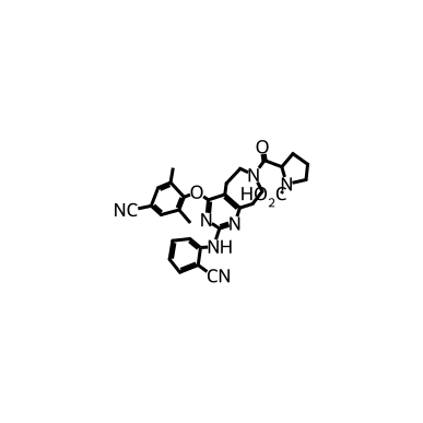 Cc1cc(C#N)cc(C)c1Oc1nc(Nc2ccccc2C#N)nc2c1CCN(C(=O)C1CCCN1C(=O)O)CC2